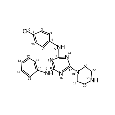 Clc1ccc(Nc2nc(Nc3ccccc3)nc(N3CCNCC3)n2)cc1